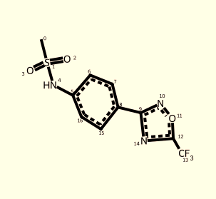 CS(=O)(=O)Nc1ccc(-c2noc(C(F)(F)F)n2)cc1